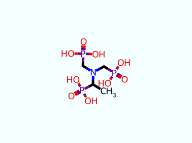 CC(N(CP(=O)(O)O)CP(=O)(O)O)P(=O)(O)O